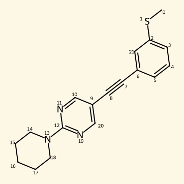 CSc1cccc(C#Cc2cnc(N3CCCCC3)nc2)c1